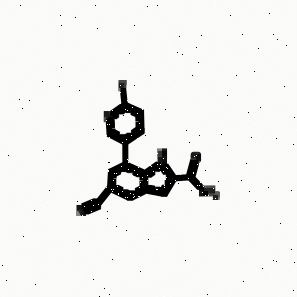 N#Cc1cc(-c2ccc(F)nc2)c2[nH]c(C(N)=O)cc2c1